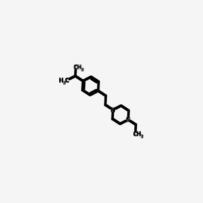 CCN1CCN(CCc2ccc(C(C)C)cc2)CC1